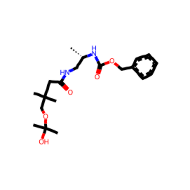 C[C@@H](CNC(=O)CC(C)(C)COC(C)(C)O)NC(=O)OCc1ccccc1